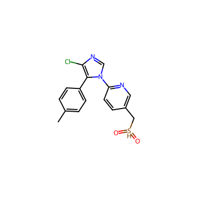 Cc1ccc(-c2c(Cl)ncn2-c2ccc(C[SH](=O)=O)cn2)cc1